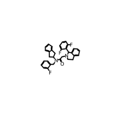 O=C(CN1CCc2ccccc2C1c1c(F)cccc1F)N(Cc1ccccc1F)C1Cc2ccccc2C1